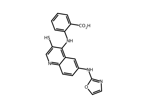 O=C(O)c1ccccc1Nc1c(S)cnc2ccc(Nc3ncco3)cc12